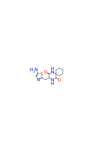 Nc1cnc(CC2NC(=O)C3(CCCCC3)NC2=O)s1